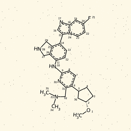 CO[C@H]1CCC(c2ccc(Nc3ccc(-c4cnc5cc(F)ccn45)c4c3CNC4)nc2CN(C)C)C1